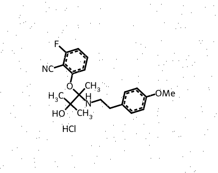 COc1ccc(CCNC(C)(Oc2cccc(F)c2C#N)C(C)(C)O)cc1.Cl